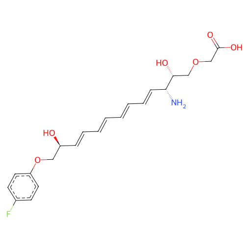 N[C@H](C=CC=CC=CC=C[C@H](O)COc1ccc(F)cc1)[C@H](O)COCC(=O)O